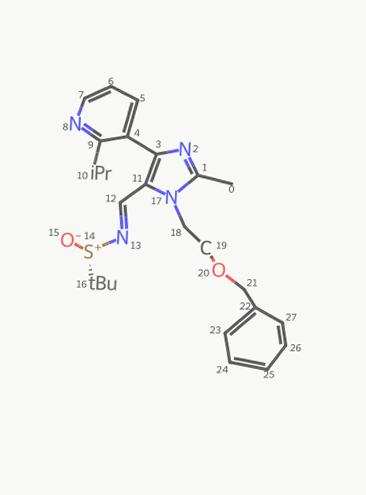 Cc1nc(-c2cccnc2C(C)C)c(/C=N/[S@@+]([O-])C(C)(C)C)n1CCOCc1ccccc1